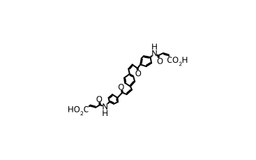 O=C(O)/C=C\C(=O)Nc1ccc(C(=O)/C=C\c2ccc(/C=C\C(=O)c3ccc(NC(=O)/C=C/C(=O)O)cc3)cc2)cc1